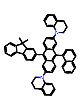 CC1(C)c2ccccc2-c2ccc(-c3c4cc(N5CCCc6ccccc65)ccc4c(-c4cccc5ccccc45)c4cc(N5CCCc6ccccc65)ccc34)cc21